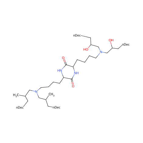 CCCCCCCCCCCC(C)CN(CCCCC1NC(=O)C(CCCCN(CC(O)CCCCCCCCCCC)CC(O)CCCCCCCCCCC)NC1=O)CC(C)CCCCCCCCCCC